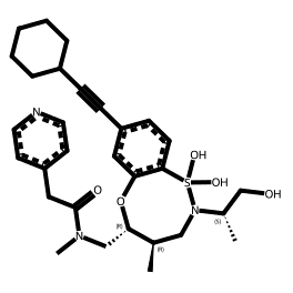 C[C@@H]1CN([C@@H](C)CO)S(O)(O)c2ccc(C#CC3CCCCC3)cc2O[C@H]1CN(C)C(=O)Cc1ccncc1